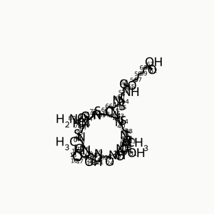 Cc1sc2nc1C(=O)N[C@@H]([C@H](O)c1ccccc1)c1nc(cs1)C(=O)NC(=O)N1C[C@H](O)[C@H](C)[C@H]1c1nc(cs1)-c1nc(cs1)-c1nc(-c3nc(CNC(=O)OCCCCCC(=O)O)cs3)ccc1-c1nc(cs1)C(=O)N[C@H]2CC(N)=O